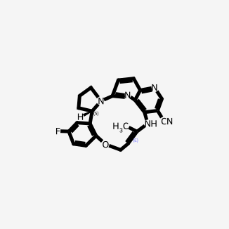 C/C1=C\COc2ccc(F)cc2[C@@H]2CCCN2c2ccc3ncc(C#N)c(c3n2)N1